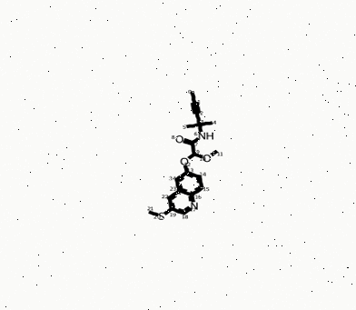 CC#CC(C)(C)NC(=O)C(OC)Oc1ccc2ncc(SC)cc2c1